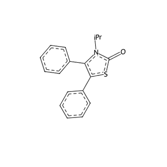 CC(C)n1c(-c2ccccc2)c(-c2ccccc2)sc1=O